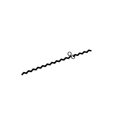 CCCCCCCCCCCCCCCCCCCCCC(=O)OCCCCCCCC